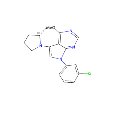 COc1ncnc2c1c(N1CCC[C@@H]1C)cn2-c1cccc(Cl)c1